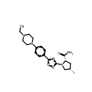 C[C@H]1C[C@@H](C(N)=O)N(c2nsc(-c3ccc(N4CCN(CC#N)CC4)cc3)n2)C1